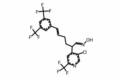 ON=CC(CCC=Cc1cc(C(F)(F)F)cc(C(F)(F)F)c1)c1cc(C(F)(F)F)ncc1Cl